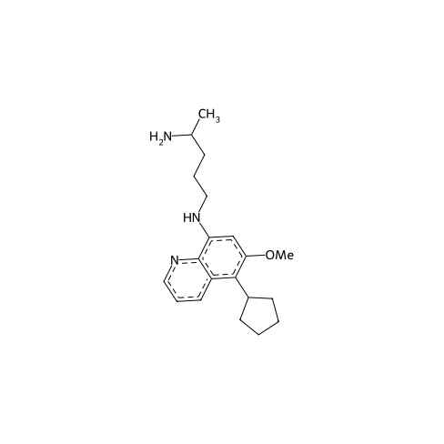 COc1cc(NCCCC(C)N)c2ncccc2c1C1CCCC1